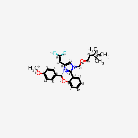 COc1ccc(COc2c[c]ccc2-c2nc(C=C(F)F)cn2COCC[Si](C)(C)C)cc1